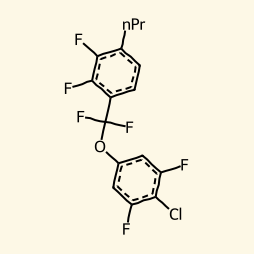 CCCc1ccc(C(F)(F)Oc2cc(F)c(Cl)c(F)c2)c(F)c1F